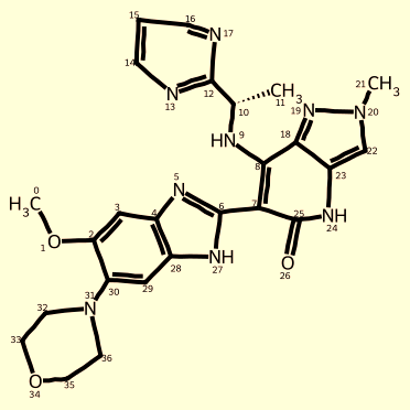 COc1cc2nc(-c3c(N[C@@H](C)c4ncccn4)c4nn(C)cc4[nH]c3=O)[nH]c2cc1N1CCOCC1